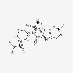 CN1CCc2nc(C(=O)N([C@H]3CCC[C@H](C(=O)N(C)C)C3)S(N)(=O)=O)sc2C1